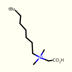 CC(C)(C)CCCCCC[N+](C)(C)CC(=O)O